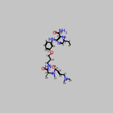 CCc1cnc(Nc2cccc(OCCCNC(=O)[C@H](C)N(C)C(=O)/C=C/CN(C)C)c2)c(C(N)=O)n1